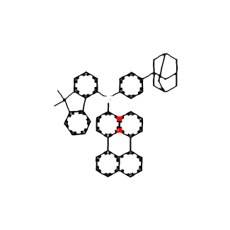 CC1(C)c2ccccc2-c2c(N(c3ccc(-c4cccc5cccc(-c6ccccc6)c45)cc3)c3ccc(C45CC6CC(CC(C6)C4)C5)cc3)cccc21